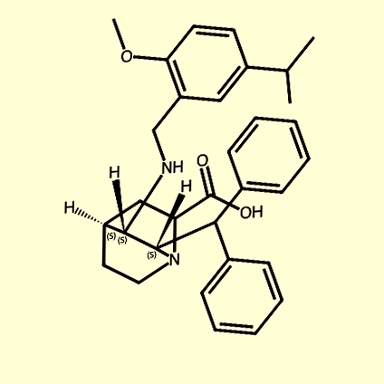 COc1ccc(C(C)C)cc1CN[C@H]1[C@H]2CCN(C(C(=O)O)C2)[C@H]1C(c1ccccc1)c1ccccc1